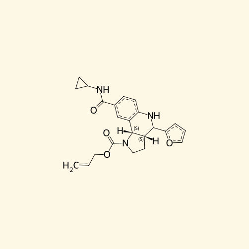 C=CCOC(=O)N1CC[C@H]2C(c3ccco3)Nc3ccc(C(=O)NC4CC4)cc3[C@H]21